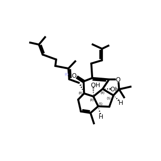 CC(C)=CCC/C(C)=C/C[C@]12CC=C(C)[C@@H]3C[C@@H]4C(C)(C)OC(=C(CC=C(C)C)C1=O)[C@]4(O)[C@@]32O